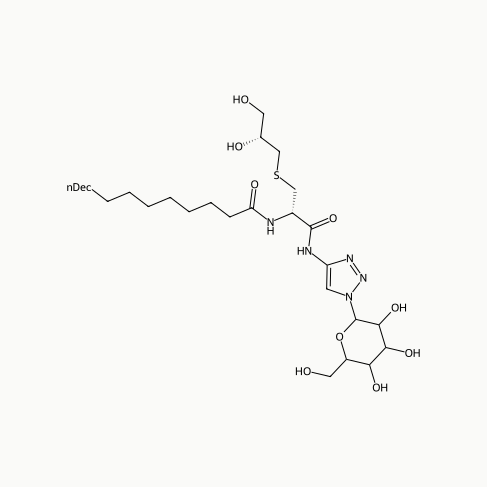 CCCCCCCCCCCCCCCCCC(=O)N[C@H](CSC[C@H](O)CO)C(=O)Nc1cn(C2OC(CO)C(O)C(O)C2O)nn1